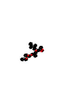 c1ccc2c(c1)sc1c(-n3c4ccccc4c4cc(-c5ccc6c(c5)c5ccccc5c5cc7c8cc9c%10ccccc%10c%10ccccc%10c9cc8n(-c8ccc9c(c8)c8ccccc8n9-c8cccc9c8sc8ccccc89)c7cc65)ccc43)cccc12